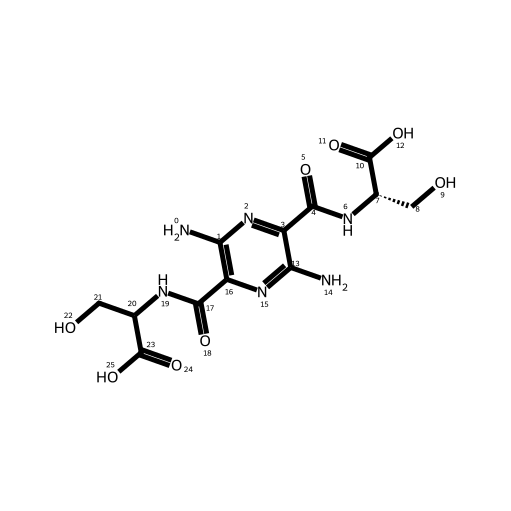 Nc1nc(C(=O)N[C@@H](CO)C(=O)O)c(N)nc1C(=O)NC(CO)C(=O)O